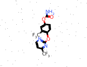 NC(=O)Oc1ccc(Oc2nccc(C(F)(F)F)n2)c(C(F)(F)F)c1